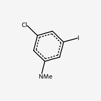 CNc1cc(Cl)cc(I)c1